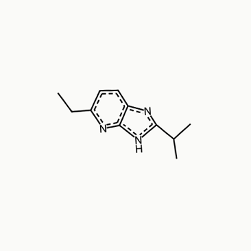 CCc1ccc2nc(C(C)C)[nH]c2n1